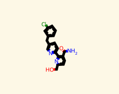 NC(=O)c1ccc(CO)nc1-c1ccc(Cc2cccc(Cl)c2)cn1